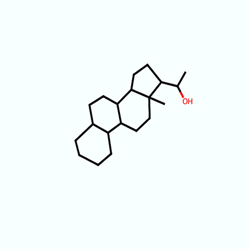 CC(O)C1CCC2C3CCC4CCCCC4C3CCC12C